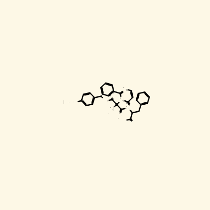 NC(C(=O)NC(Cc1ccccc1)C(=O)C(F)(F)F)(C(=O)OCc1ccc(C(=O)O)cc1)n1c(-c2ccccc2)nccc1=O